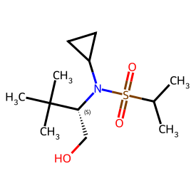 CC(C)S(=O)(=O)N(C1CC1)[C@H](CO)C(C)(C)C